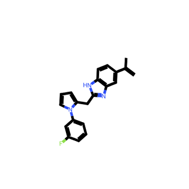 C=C(C)c1ccc2[nH]c(Cc3cccn3-c3cccc(F)c3)nc2c1